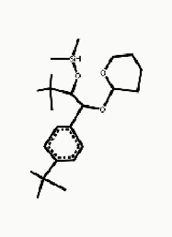 C[SiH](C)OC(C(OC1CCCCO1)c1ccc(C(C)(C)C)cc1)C(C)(C)C